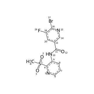 CS(=O)(=O)c1ncccc1NC(=O)c1cnc(Br)c(F)c1